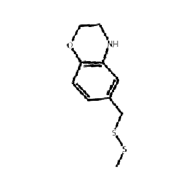 CSSCc1ccc2c(c1)NCCO2